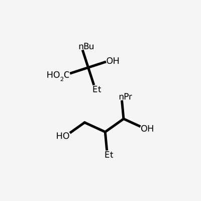 CCCC(O)C(CC)CO.CCCCC(O)(CC)C(=O)O